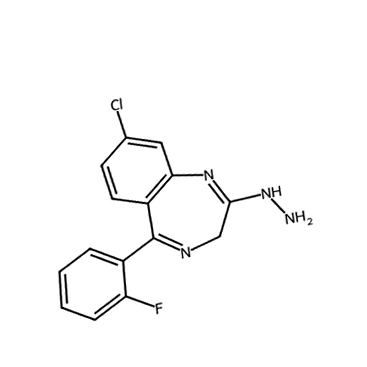 NNC1=Nc2cc(Cl)ccc2C(c2ccccc2F)=NC1